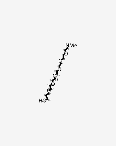 CNCCOCCOCCOCCOCCOCCOCCCO